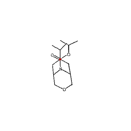 CC(C)OC(=O)N1C2COCC1CC(C(C)C)C2